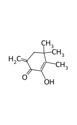 C=C1CC(C)(C)C(C)=C(O)C1=O